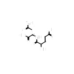 CC(CCC(=O)O)C(=O)N[C@@H](CC(N)=O)C(=O)O